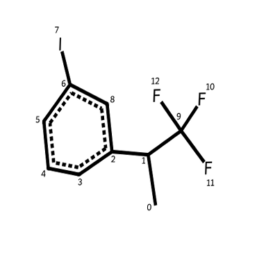 CC(c1cccc(I)c1)C(F)(F)F